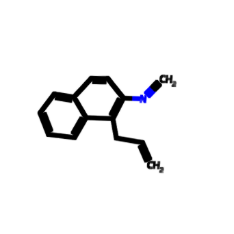 C=CCc1c(N=C)ccc2ccccc12